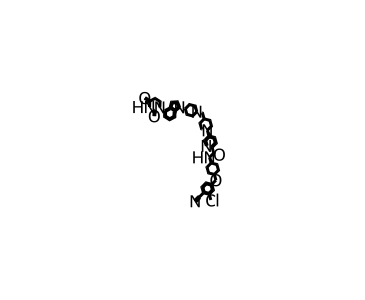 N#Cc1ccc(OC2CCC(NC(=O)c3ccc(N4CCC(CN5CCC(n6ccc7c(N8CCC(=O)NC8=O)cccc76)CC5)CC4)cn3)CC2)cc1Cl